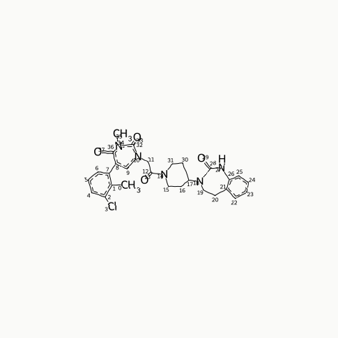 Cc1c(Cl)cccc1-c1cn(CC(=O)N2CCC(N3CCc4ccccc4NC3=O)CC2)c(=O)n(C)c1=O